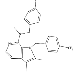 Cc1c(C)n(Cc2ccc(C(F)(F)F)cc2)c2c(N(C)Cc3ccc(F)cc3)nccc12